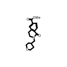 COC(=O)c1ccc2c(c1)CCN(CC1CCOCC1)C2=O